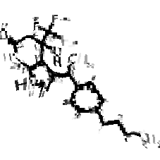 CCCCc1ccc(C(C)c2n[nH]c3c2C(O)(C(F)(F)F)CC(=O)N3)cc1